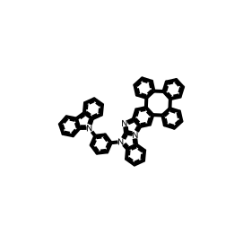 c1cc(-n2c3ccccc3c3ccccc32)cc(-n2c3ccccc3n3c4cc5c(cc4nc23)-c2ccccc2-c2ccccc2-c2ccccc2-5)c1